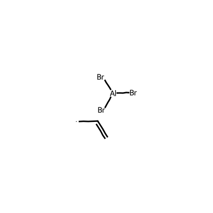 [Br][Al]([Br])[Br].[CH2]C=C